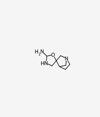 NC1NCC2(CN3CCC2C3)O1